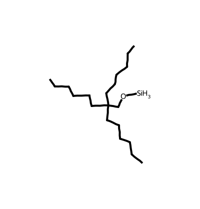 CCCCCCC(CCCCCC)(CCCCCC)CO[SiH3]